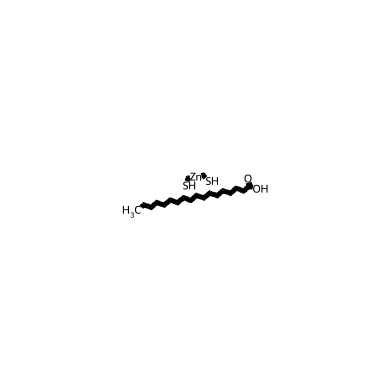 CCCCCCCCCCCCCCCCCC(=O)O.S[CH2][Zn][CH2]S